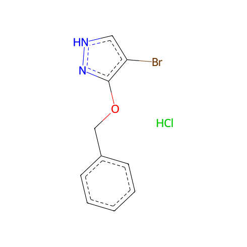 Brc1c[nH]nc1OCc1ccccc1.Cl